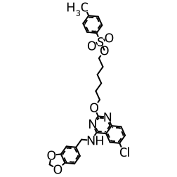 Cc1ccc(S(=O)(=O)OCCCCCCOc2nc(NCc3ccc4c(c3)OCO4)c3cc(Cl)ccc3n2)cc1